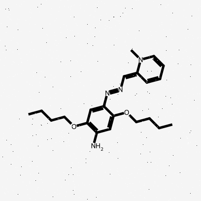 CCCCOc1cc(N=N/C=C2\C=CC=CN2C)c(OCCCC)cc1N